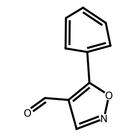 O=Cc1cnoc1-c1ccccc1